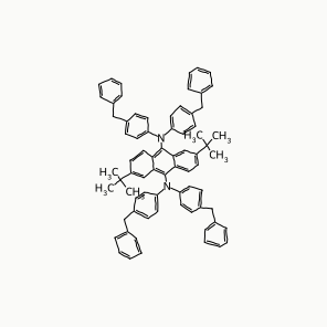 CC(C)(C)c1ccc2c(N(c3ccc(Cc4ccccc4)cc3)c3ccc(Cc4ccccc4)cc3)c3cc(C(C)(C)C)ccc3c(N(c3ccc(Cc4ccccc4)cc3)c3ccc(Cc4ccccc4)cc3)c2c1